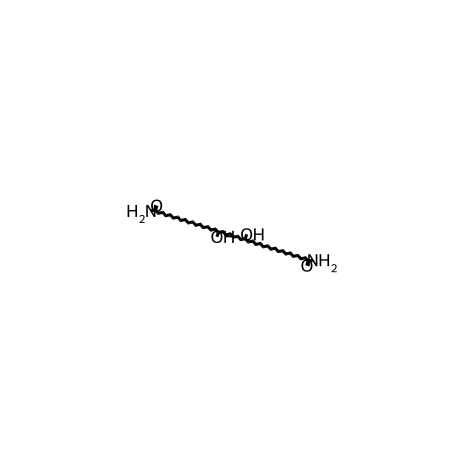 NC(=O)CCCCCCCCCCCCCCCCC(O)CCCCCCC(O)CCCCCCCCCCCCCCCCC(N)=O